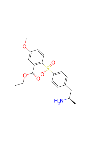 CCOC(=O)c1cc(OC)ccc1S(=O)(=O)c1ccc(C[C@@H](C)N)cc1